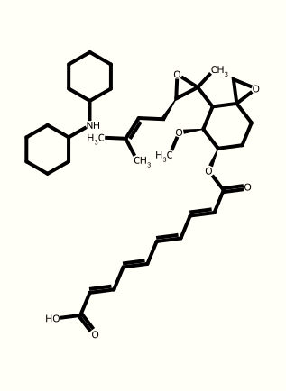 C1CCC(NC2CCCCC2)CC1.CO[C@H]1C(C2(C)O[C@@H]2CC=C(C)C)C2(CC[C@H]1OC(=O)/C=C/C=C/C=C/C=C/C(=O)O)CO2